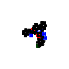 O=C(CN1C(=O)C(NC(=O)Nc2ccc(Cl)cc2)N=C(c2ccccc2)c2ccccc21)NCc1ccccc1